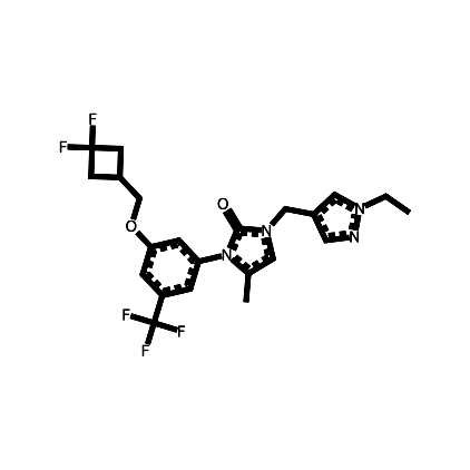 CCn1cc(Cn2cc(C)n(-c3cc(OCC4CC(F)(F)C4)cc(C(F)(F)F)c3)c2=O)cn1